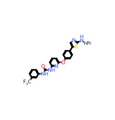 CCCNc1ncc(-c2ccc(Oc3cccc(NC(=O)Nc4cccc(C(F)(F)F)c4)n3)cc2)s1